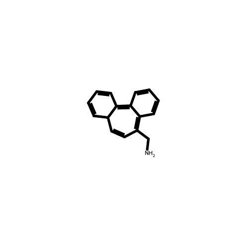 NCC1=c2ccccc2=C2C=CC=CC2C=C1